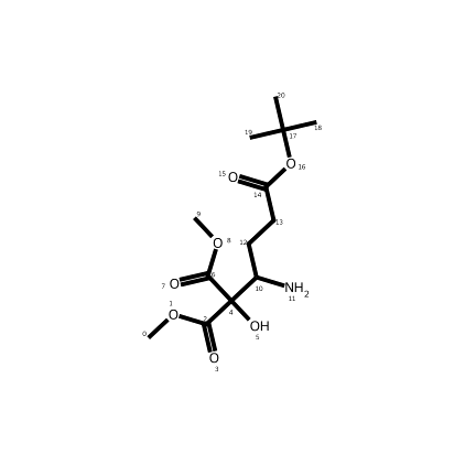 COC(=O)C(O)(C(=O)OC)C(N)CCC(=O)OC(C)(C)C